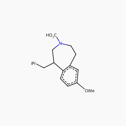 COc1ccc2c(c1)CCN(C(=O)O)CC2CC(C)C